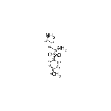 Cc1ccc(S(=O)(=O)C(N)CCCN)cc1